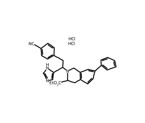 CCOC(=O)C1Cc2ccc(-c3ccccc3)cc2CN1C(Cc1ccc(C#N)cc1)c1cnc[nH]1.Cl.Cl